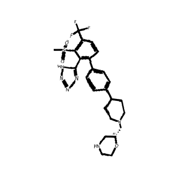 CS(=O)(=O)c1c(C(F)(F)F)ccc(-c2ccc(C3CCN(C[C@H]4CNCCO4)CC3)cc2)c1-c1nnn[nH]1